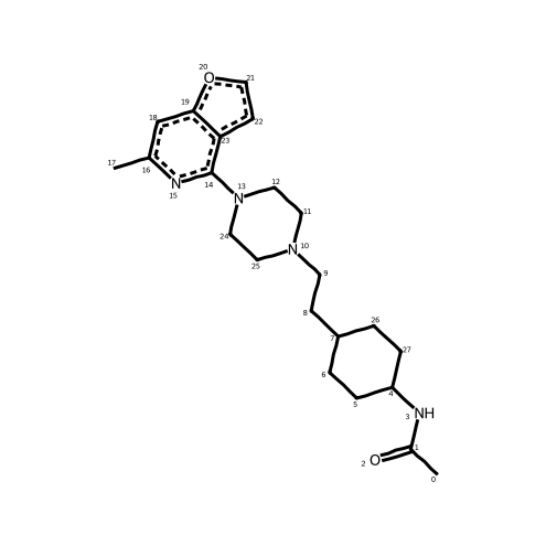 CC(=O)NC1CCC(CCN2CCN(c3nc(C)cc4occc34)CC2)CC1